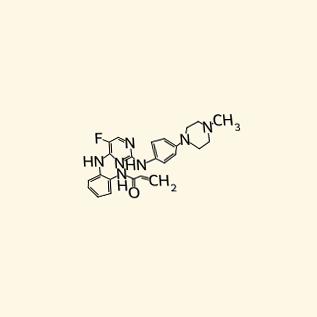 C=CC(=O)Nc1ccccc1Nc1nc(Nc2ccc(N3CCN(C)CC3)cc2)ncc1F